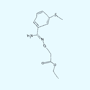 CCOC(=O)CON=C(N)c1cccc(SC)c1